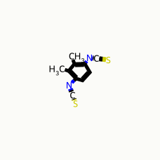 Cc1c(N=C=S)ccc(N=C=S)c1C